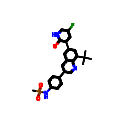 CC(C)(C)c1cc(-c2cc(F)c[nH]c2=O)cc2cc(-c3ccc(NS(C)(=O)=O)cc3)cnc12